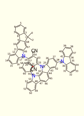 CC1(C)c2ccccc2-c2cc3c4ccccc4n(-c4cc(C#N)c(-n5c6ccc(-n7c8ccccc8c8ccccc87)cc6c6ccc7c8ccccc8n(-c8ccccc8)c7c65)cc4C#N)c3cc21